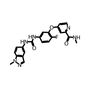 CNC(=O)c1cc(Oc2cc(NC(=O)Nc3ccc4c(cnn4C)c3)ccc2F)ccn1